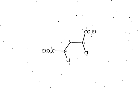 CCOC(=O)C(Cl)CC(Cl)C(=O)OCC